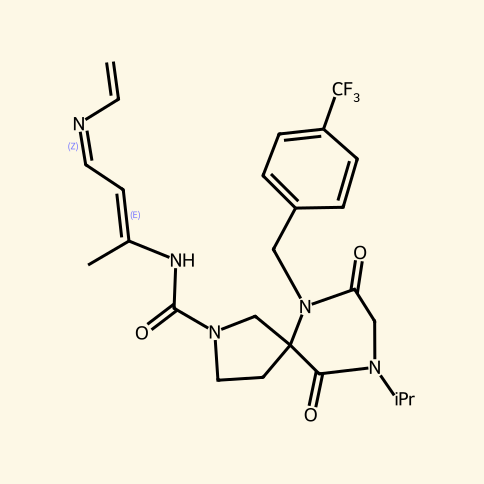 C=C/N=C\C=C(/C)NC(=O)N1CCC2(C1)C(=O)N(C(C)C)CC(=O)N2Cc1ccc(C(F)(F)F)cc1